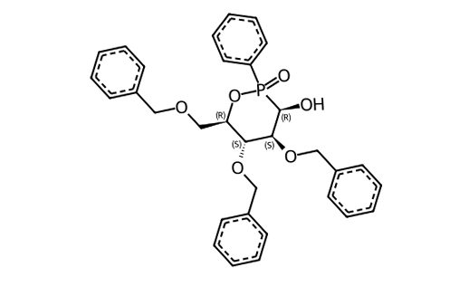 O=P1(c2ccccc2)O[C@H](COCc2ccccc2)[C@@H](OCc2ccccc2)[C@H](OCc2ccccc2)[C@@H]1O